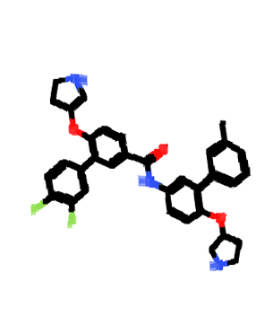 Cc1cccc(-c2cc(NC(=O)c3ccc(OC4CCNC4)c(-c4ccc(F)c(F)c4)c3)ccc2OC2CCNC2)c1